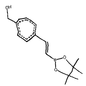 CC1(C)OB(/C=C/c2ccc(CO)cc2)OC1(C)C